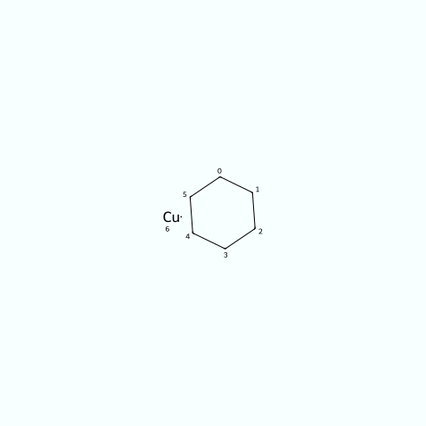 C1CCCCC1.[Cu]